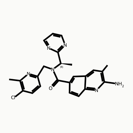 Cc1cc2cc(C(=O)N(Cc3ccc(Cl)c(C)n3)[C@H](C)c3ncccn3)ccc2nc1N